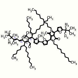 C=c1c2c(c(-c3ccc(C(C)(C)C(C)C)o3)n1CCCCCCCCCC)C(=O)N(CCCCCCCCCC)C=2c1ccc(-c2ccc(\C(=C(C(C)=O)/C(C=O)=C(\C(C)=C\C=C(/C)C(C)(C)C(C)C)C(CCCCCC)CCCCCCCC)C(CCCCCC)CCCCCCCC)n2C)o1